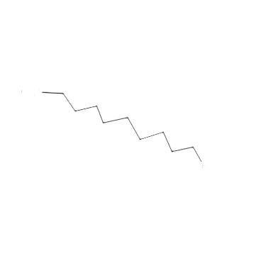 O=S(=O)(O)CCCCCCCCCF